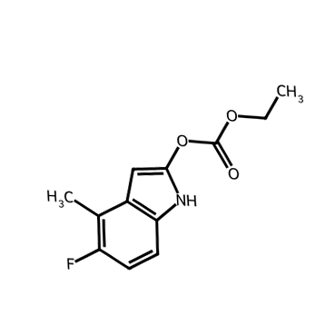 CCOC(=O)Oc1cc2c(C)c(F)ccc2[nH]1